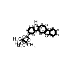 CC1(C)OB(c2ccc3[nH]c4c(c3c2)Cc2oc3ccccc3c2C=C4)OC1(C)C